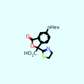 CCCCCCc1ccc2c(c1)C(=O)OC2(C(=O)O)C1=NCCS1